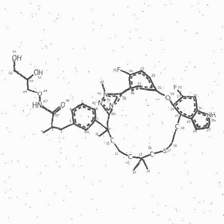 CC(Cc1cccc(C2(C)CCCC(C)(C)CSCCc3c(c(F)cc4[nH]ccc34)Oc3ccc(F)c(c3)-c3nc2nn3C)c1)C(=O)NOCC(O)CO